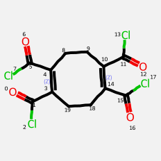 O=C(Cl)/C1=C(\C(=O)Cl)CC/C(C(=O)Cl)=C(/C(=O)Cl)CC1